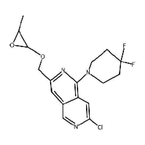 CC1OC1OCc1cc2cnc(Cl)cc2c(N2CCC(F)(F)CC2)n1